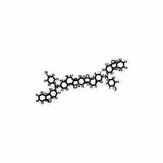 Cc1ccc(N(c2ccc3c(ccc4c5cc6oc7c8ccc(N(c9ccc(C)cc9)c9ccc%10oc%11ccccc%11c%10c9)cc8ccc7c6cc5oc34)c2)c2ccc3oc4ccccc4c3c2)cc1